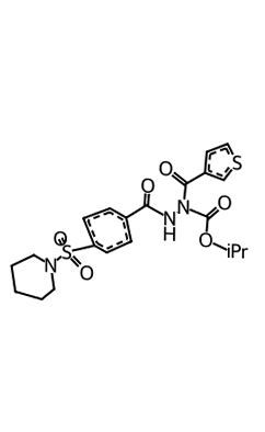 CC(C)OC(=O)N(NC(=O)c1ccc(S(=O)(=O)N2CCCCC2)cc1)C(=O)c1ccsc1